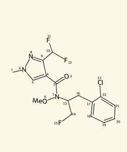 CON(C(=O)c1cn(C)nc1C(F)F)C(CF)Cc1ccccc1Cl